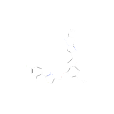 COc1cc(OCc2csc(-c3ccc(F)cc3F)n2)c2cc(-c3cn4c(n3)SC(OC)N4)oc2c1